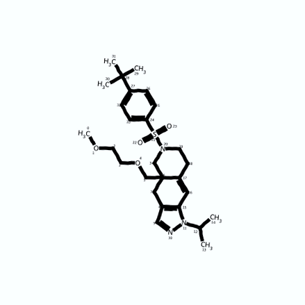 COCCOCC12Cc3cnn(C(C)C)c3C=C1CCN(S(=O)(=O)c1ccc(C(C)(C)C)cc1)C2